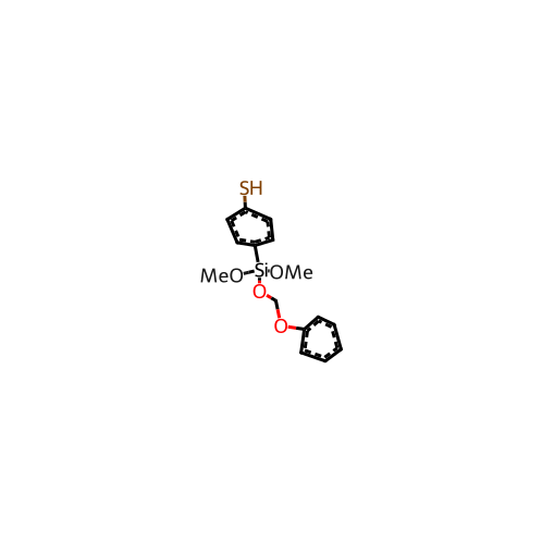 CO[Si](OC)(OCOc1ccccc1)c1ccc(S)cc1